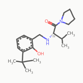 CC(C)[C@H](NCc1cccc(C(C)(C)C)c1O)C(=O)N1CCCC1